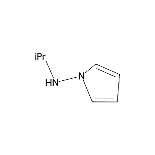 CC(C)Nn1cccc1